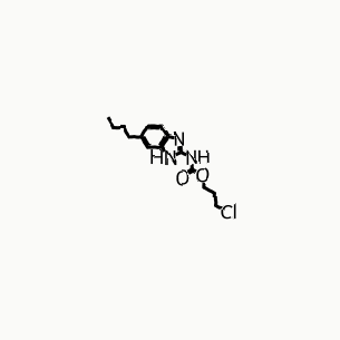 CCCCc1ccc2nc(NC(=O)OCCCCl)[nH]c2c1